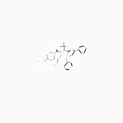 CC(C)(C)[C@H](c1nc(-c2ccccc2)cn1Cc1ccccc1)N(CCCN)C(=O)N1CCC(N)CC1